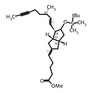 CC#CCC[C@H](C)/C=C/[C@H]1C(O[Si](C)(C)C(C)(C)C)C[C@@H]2C/C(=C\CCCC(=O)OC)C[C@@H]21